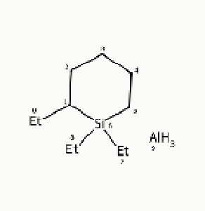 CCC1CCCC[Si]1(CC)CC.[AlH3]